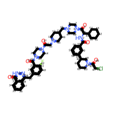 O=C(N[C@@H](C(=O)N1CCN(CC2CCN(CC(=O)N3CCN(C(=O)c4cc(Cc5n[nH]c(=O)c6ccccc56)ccc4F)CC3)CC2)CC1)C1CCCCC1)c1cccc(C2CCCN(C(=O)CCl)C2)c1